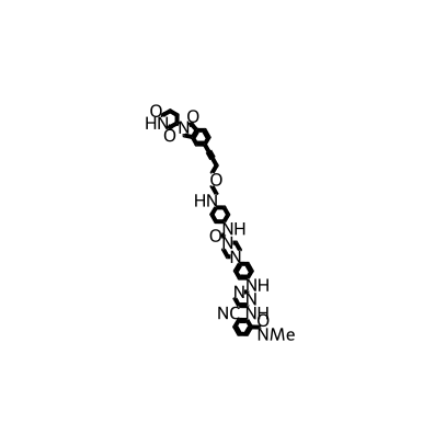 CNC(=O)c1ccccc1Nc1nc(Nc2ccc(N3CCN(C(=O)NC4CCC(NCCOCCC#Cc5ccc6c(c5)CN(C5CCC(=O)NC5=O)C6=O)CC4)CC3)cc2)ncc1C#N